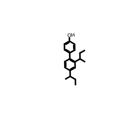 CCC(C)c1ccc(-c2ccc(O)cc2)c(C(C)CC)c1